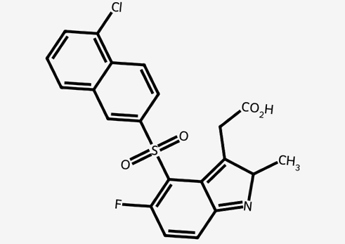 CC1N=c2ccc(F)c(S(=O)(=O)c3ccc4c(Cl)cccc4c3)c2=C1CC(=O)O